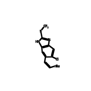 CCCC/C=C\c1cc2[nH]c(SC(F)(F)F)nc2cc1Cl